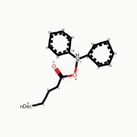 CCCCCCCCCCCCCC(=O)O[SiH](c1ccccc1)c1ccccc1